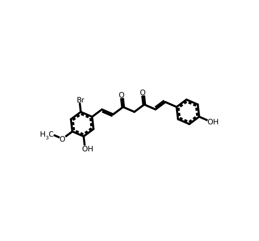 COc1cc(Br)c(C=CC(=O)CC(=O)C=Cc2ccc(O)cc2)cc1O